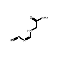 CNC(=O)CN/C=N\N=N